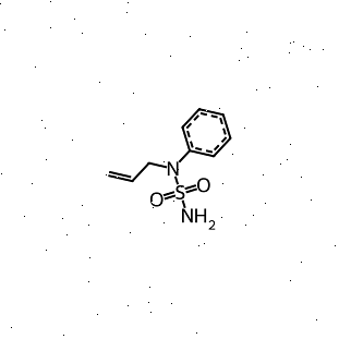 C=CCN(c1ccccc1)S(N)(=O)=O